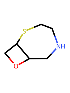 C1CSC2COC2CN1